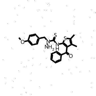 COc1ccc(CN(N)C(=S)Nc2sc(C)c(C)c2C(=O)c2ccccc2)cc1